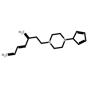 C=CC=CC(=C)CCN1CCN(C2C=CC=C2)CC1